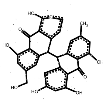 Cc1cc(O)c2c(c1)C(C1c3cccc(O)c3C(=O)c3c(O)cc(CO)cc31)c1cc(O)cc(O)c1C2=O